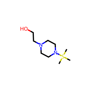 CS(C)(C)N1CCN(CCO)CC1